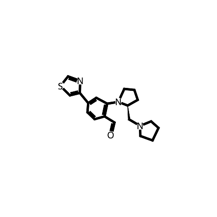 O=Cc1ccc(-c2cscn2)cc1N1CCC[C@H]1CN1CCCC1